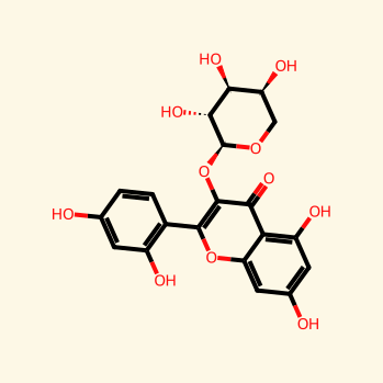 O=c1c(O[C@@H]2OC[C@H](O)[C@H](O)[C@H]2O)c(-c2ccc(O)cc2O)oc2cc(O)cc(O)c12